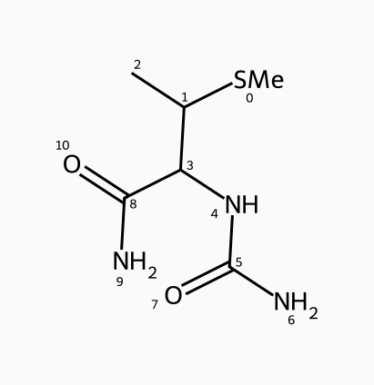 CSC(C)C(NC(N)=O)C(N)=O